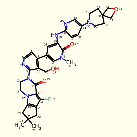 Cn1cc(-c2ccnc(N3CCn4c5c(c(F)c4C3=O)CC(C)(C)C5)c2CO)cc(Nc2ccc(N3CCC4(CC3)COC4)cn2)c1=O